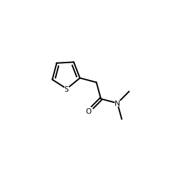 CN(C)C(=O)Cc1cccs1